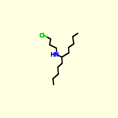 CCCCCC(CCCCC)NCCCCl